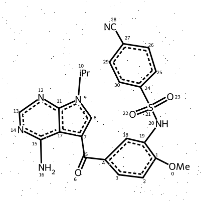 COc1ccc(C(=O)c2cn(C(C)C)c3ncnc(N)c23)cc1NS(=O)(=O)c1ccc(C#N)cc1